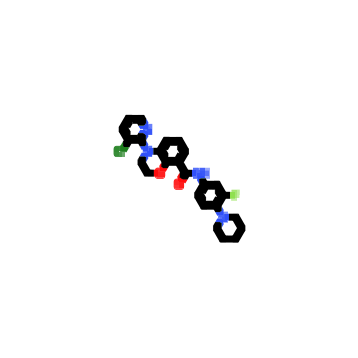 O=C(Nc1ccc(N2CCCCC2)c(F)c1)c1cccc2c1OCCN2c1ncccc1Cl